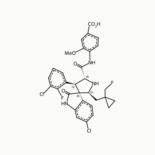 COc1cc(C(=O)O)ccc1NC(=O)[C@@H]1N[C@@H](CC2(CF)CC2)[C@@]2(C(=O)Nc3cc(Cl)ccc32)[C@H]1c1cccc(Cl)c1F